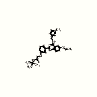 CCOc1ccc2nc(-c3cccc(OCC(=O)NC(C)(C)C)c3)nc(NCc3ccn(C)n3)c2c1